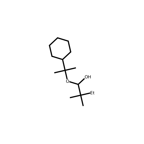 CCC(C)(C)C(O)OC(C)(C)C1CCCCC1